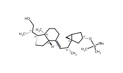 C[C@H](CO)[C@H]1CC[C@H]2/C(=C/[C@@H](C)[C@]34CC3C[C@H](O[Si](C)(C)C(C)(C)C)C4)CCC[C@]12C